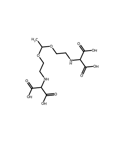 CC(OCCNC(C(=O)O)C(=O)O)OCCNC(C(=O)O)C(=O)O